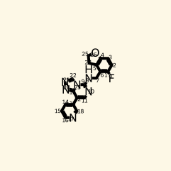 Fc1ccc2c(c1CNc1ncc(-c3cccnc3)c3nncn13)CCO2